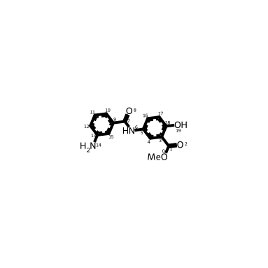 COC(=O)c1cc(NC(=O)c2cccc(N)c2)ccc1O